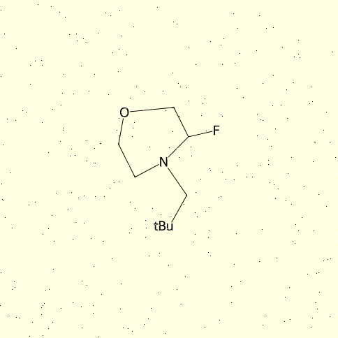 CC(C)(C)CN1CCOCC1F